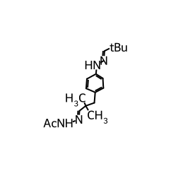 CC(=O)N/N=C/C(C)(C)Cc1ccc(N/N=C/C(C)(C)C)cc1